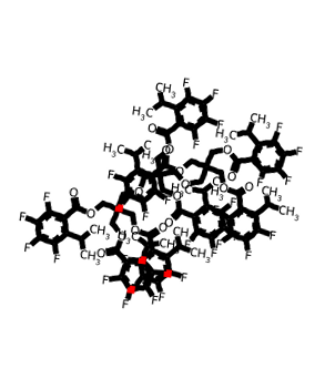 CC(C)c1c(F)c(F)c(F)c(F)c1C(=O)OCC(COCC(COC(=O)c1c(F)c(F)c(F)c(F)c1C(C)C)(COC(=O)c1c(F)c(F)c(F)c(F)c1C(C)C)COC(=O)c1c(F)c(F)c(F)c(F)c1C(C)C)(COCC(COC(=O)c1c(F)c(F)c(F)c(F)c1C(C)C)(COC(=O)c1c(F)c(F)c(F)c(F)c1C(C)C)COC(=O)c1c(F)c(F)c(F)c(F)c1C(C)C)COC(=O)c1c(F)c(F)c(F)c(F)c1C(C)C